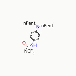 CCCCCN(CCCCC)c1ccc(NC(=O)NC(F)(F)F)cc1